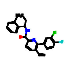 COc1ccc(C(=O)NC(CC(=O)O)c2ccccc2C)nc1-c1ccc(F)c(Cl)c1